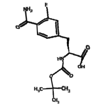 CC(C)(C)OC(=O)N[C@@H](Cc1ccc(C(N)=O)c(F)c1)C(=O)O